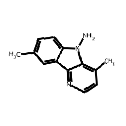 Cc1ccc2c(c1)c1nccc(C)c1n2N